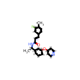 Cc1ccc(/C=C/C(=O)N[C@@H](C)c2cccc(Oc3ccncc3)c2)cc1F